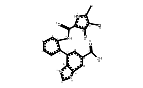 Cc1[nH]c(C(=O)Nc2ccccc2-c2cc(C(=O)O)cc3scnc23)c(Cl)c1Cl